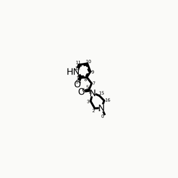 CN1CCN(C(=O)Cc2ccc[nH]c2=O)CC1